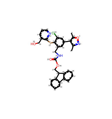 Cc1noc(C)c1-c1cc(Cl)c(Sc2ncccc2CO)c(CNC(=O)OCC2c3ccccc3-c3ccccc32)c1